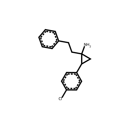 NC1(CCc2ccccc2)CC1c1ccc(Cl)cc1